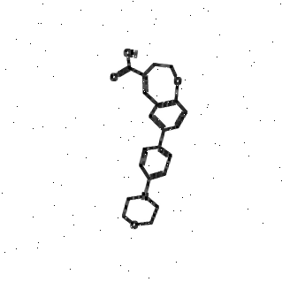 O=C(O)C1=Cc2cc(-c3ccc(N4CCOCC4)cc3)ccc2OCC1